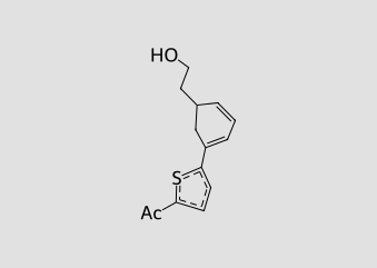 CC(=O)c1ccc(C2=CC=CC(CCO)C2)s1